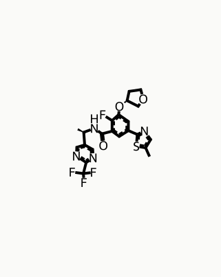 Cc1cnc(-c2cc(O[C@@H]3CCOC3)c(F)c(C(=O)N[C@H](C)c3cnc(C(F)(F)F)nc3)c2)s1